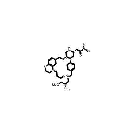 CCN(CC)C(=O)C[C@H]1C[C@H](c2ccc(COC[C@@H](C)COC)cc2)[C@@H](OCc2ccc3c(c2)N(CCCOC)CCO3)CN1